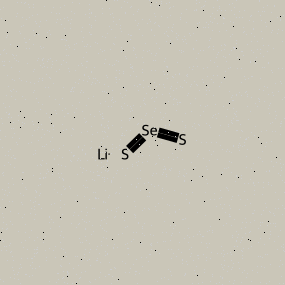 S=[Se]=S.[Li]